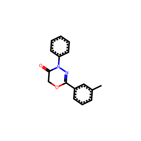 Cc1cccc(C2=NN(c3ccccc3)C(=O)CO2)c1